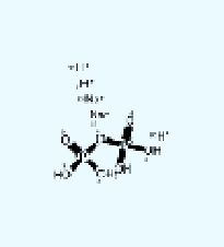 O=P(O)(O)OP(=O)(O)O.[H+].[H+].[H+].[Na+].[Na+]